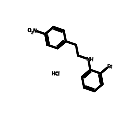 CCc1ccccc1NCCc1ccc([N+](=O)[O-])cc1.Cl